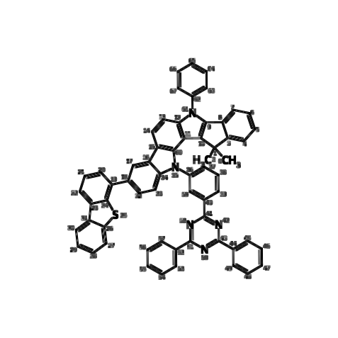 CC1(C)c2ccccc2-c2c1c1c(ccc3c4cc(-c5cccc6c5sc5ccccc56)ccc4n(-c4cccc(-c5nc(-c6ccccc6)nc(-c6ccccc6)n5)c4)c31)n2-c1ccccc1